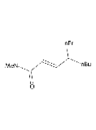 CCCCC(/C=C/C(=O)NC)CCC